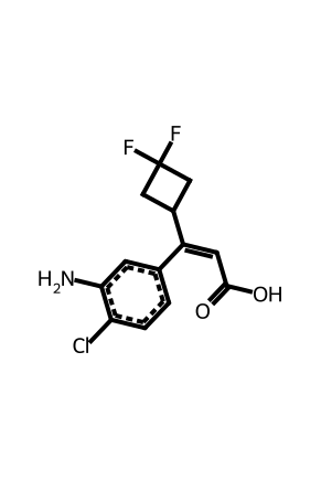 Nc1cc(/C(=C\C(=O)O)C2CC(F)(F)C2)ccc1Cl